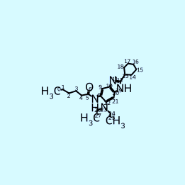 CCCCCC(=O)Nc1cc2nc(C3CCCCC3)[nH]c2cc1N(CC)CC